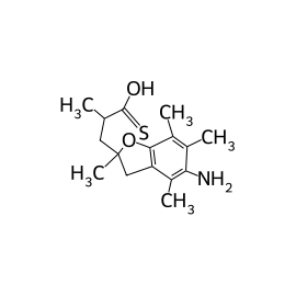 Cc1c(C)c2c(c(C)c1N)CC(C)(CC(C)C(O)=S)O2